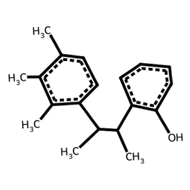 Cc1ccc(C(C)C(C)c2ccccc2O)c(C)c1C